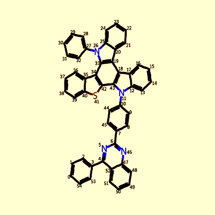 c1ccc(-c2nc(-c3ccc(-n4c5ccccc5c5c6c7ccccc7n(-c7ccccc7)c6c6c7ccccc7sc6c54)cc3)nc3ccccc23)cc1